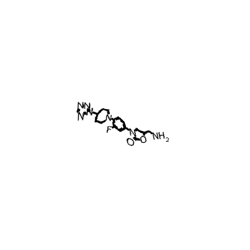 NCC1CN(c2ccc(N3CCC(n4ncnn4)CC3)c(F)c2)C(=O)O1